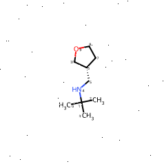 CC(C)(C)NC[C@H]1CCOC1